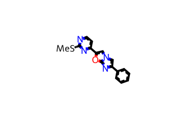 CSc1nccc(-c2cn3cc(-c4ccccc4)nc3o2)n1